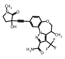 CC1COc2ccc(C#CC3(O)CCN(C)C3=O)cc2-n2nc(C(N)=O)c(C(F)(F)F)c21